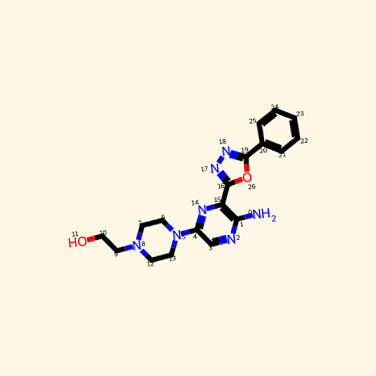 Nc1ncc(N2CCN(CCO)CC2)nc1-c1nnc(-c2ccccc2)o1